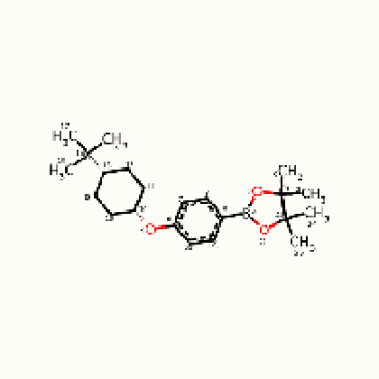 CC1(C)OB(c2ccc(O[C@H]3CC[C@@H](C(C)(C)C)CC3)cc2)OC1(C)C